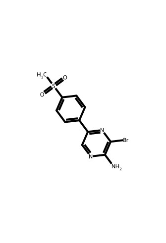 CS(=O)(=O)c1ccc(-c2cnc(N)c(Br)n2)cc1